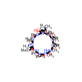 C/C=C/C[C@@H](C)[C@@H](O)[C@H]1C(=O)N[C@@H](CC)C(=O)N(C)[C@H](C(C)C)C(=O)N[C@@H]([C@H](C)COC)C(=O)N[C@@H](C(C)C)C(=O)N(C)[C@@H](CC(C)C)C(=O)N[C@@H](C)C(=O)N[C@H](C)C(=O)N(C)[C@@H](CC(C)C)C(=O)N(C)[C@@H](CC(C)C)C(=O)N(C)[C@@H](C(C)C)C(=O)N1C